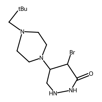 CC(C)(C)CN1CCN(C2CNNC(=O)C2Br)CC1